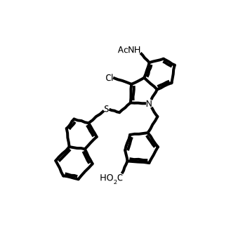 CC(=O)Nc1cccc2c1c(Cl)c(CSc1ccc3ccccc3c1)n2Cc1ccc(C(=O)O)cc1